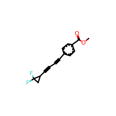 COC(=O)c1ccc(C#CC#CC2CC2(F)F)cc1